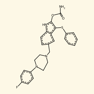 NC(=O)Oc1[nH]c2ccc(CN3CCN(c4ccc(F)cc4)CC3)cc2c1Sc1ccccc1